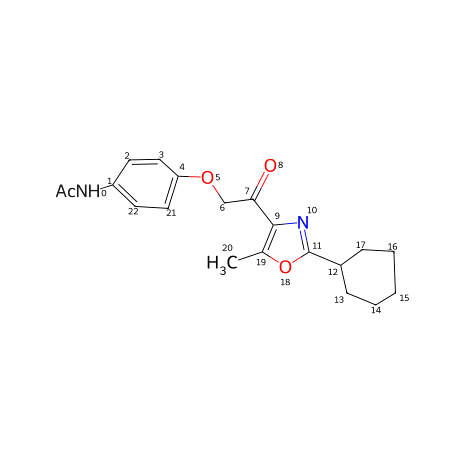 CC(=O)Nc1ccc(OCC(=O)c2nc(C3CCCCC3)oc2C)cc1